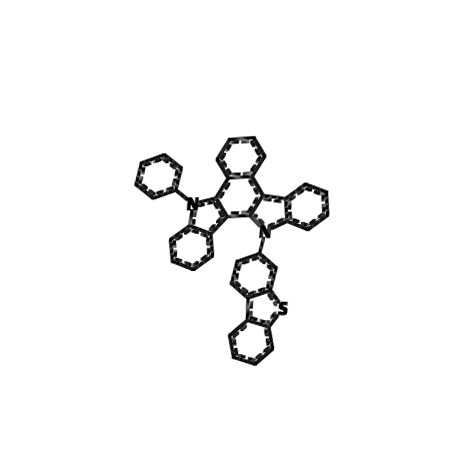 c1ccc(-n2c3ccccc3c3c2c2ccccc2c2c4ccccc4n(-c4ccc5c(c4)sc4ccccc45)c23)cc1